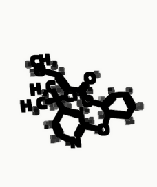 COC=CC(=O)Oc1ccccc1Oc1cc(C(C)(C)C)ccn1